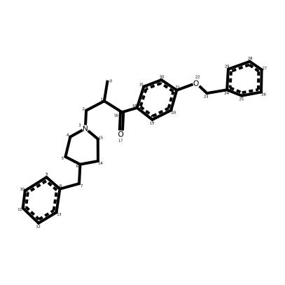 CC(CN1CCC(Cc2ccccc2)CC1)C(=O)c1ccc(OCc2ccccc2)cc1